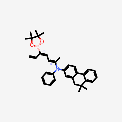 C=C/C(=C\C=C(/C)N(c1ccccc1)c1ccc2c(c1)CC(C)(C)c1ccccc1-2)B1OC(C)(C)C(C)(C)O1